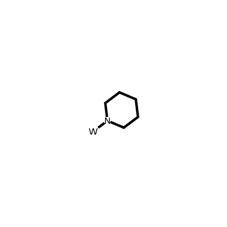 [W][N]1CCCCC1